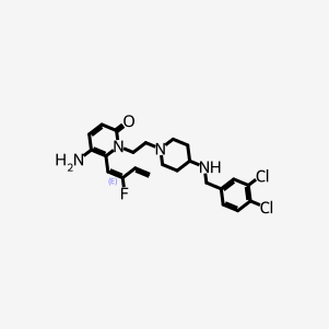 C=C/C(F)=C\c1c(N)ccc(=O)n1CCN1CCC(NCc2ccc(Cl)c(Cl)c2)CC1